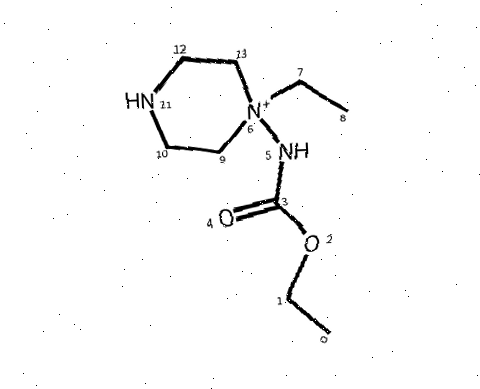 CCOC(=O)N[N+]1(CC)CCNCC1